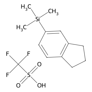 C[Si](C)(C)c1ccc2c(c1)CCC2.O=S(=O)(O)C(F)(F)F